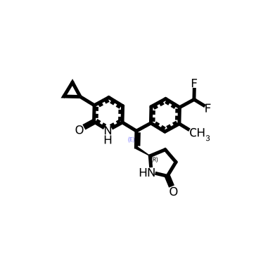 Cc1cc(/C(=C\[C@H]2CCC(=O)N2)c2ccc(C3CC3)c(=O)[nH]2)ccc1C(F)F